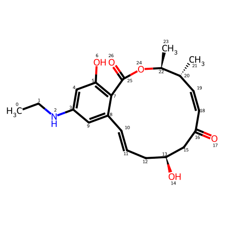 CCNc1cc(O)c2c(c1)/C=C/C[C@H](O)CC(=O)/C=C\[C@@H](C)[C@H](C)OC2=O